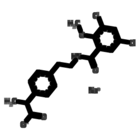 COc1c(Cl)cc(Cl)cc1C(=O)NCCc1ccc(C(C)C(=O)[O-])cc1.[Na+]